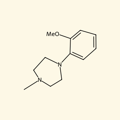 COc1ccccc1N1CCN(C)CC1